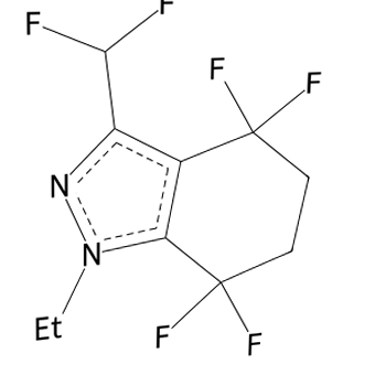 CCn1nc(C(F)F)c2c1C(F)(F)CCC2(F)F